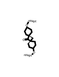 CCCCCCCOC1CC[C@]2(CC1)C[C@@]1(CCC(OCCCCCCC)CC1)C2=O